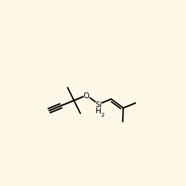 C#CC(C)(C)O[SiH2]C=C(C)C